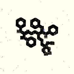 CCO[Si](CCCN(CCN=C(NC1CCCCC1)NC1CCCCC1)/C(=N\C1CCCCC1)NC1CCCCC1)(OCC)OCC